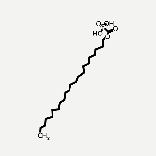 CCCCCCCCCCCCCCCCCCCCCCOC(=O)P(=O)(O)O